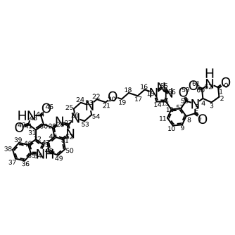 O=C1CCC(N2C(=O)c3cccc(-c4cn(CCCCOCCN5CCN(c6nc(C7=C(c8c[nH]c9ccccc89)C(=O)NC7=O)c7ccccc7n6)CC5)nn4)c3C2=O)C(=O)N1